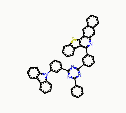 c1ccc(-c2nc(-c3cccc(-c4nc5cc6ccccc6cc5c5sc6ccccc6c45)c3)nc(-c3cccc(-n4c5ccccc5c5ccccc54)c3)n2)cc1